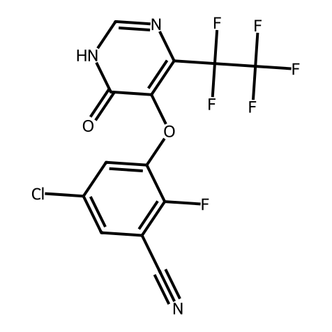 N#Cc1cc(Cl)cc(Oc2c(C(F)(F)C(F)(F)F)nc[nH]c2=O)c1F